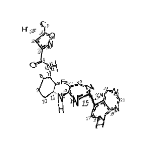 Cc1cc(C(=O)N[C@@H]2CCC[C@@H](Nc3nc(-c4c[nH]c5ncncc45)ncc3F)C2)no1